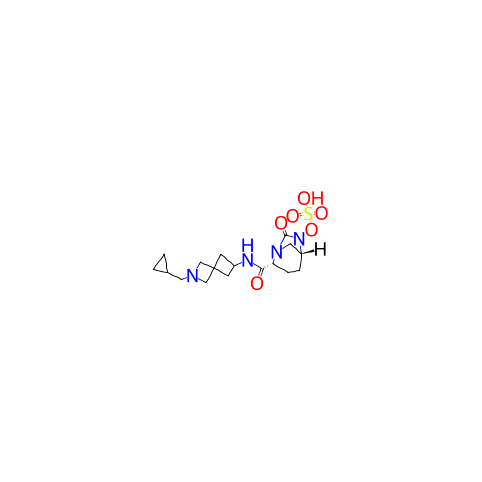 O=C(NC1CC2(C1)CN(CC1CC1)C2)[C@H]1CC[C@@H]2CN1C(=O)N2OS(=O)(=O)O